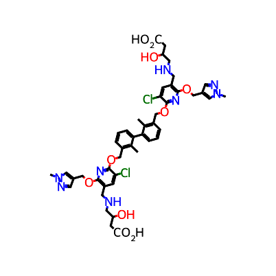 Cc1c(COc2nc(OCc3cnn(C)c3)c(CNCC(O)CC(=O)O)cc2Cl)cccc1-c1cccc(COc2nc(OCc3cnn(C)c3)c(CNCC(O)CC(=O)O)cc2Cl)c1C